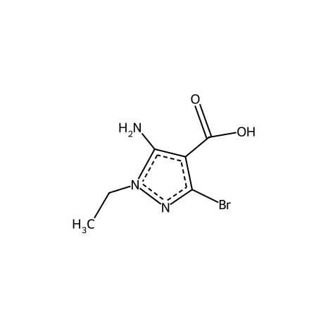 CCn1nc(Br)c(C(=O)O)c1N